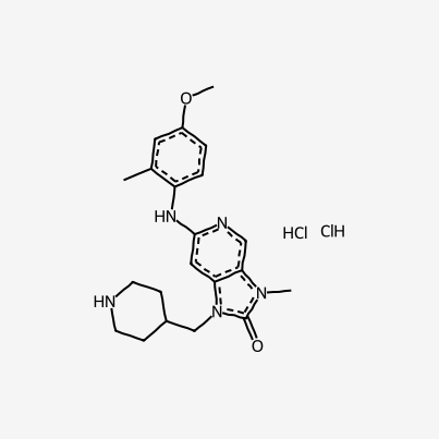 COc1ccc(Nc2cc3c(cn2)n(C)c(=O)n3CC2CCNCC2)c(C)c1.Cl.Cl